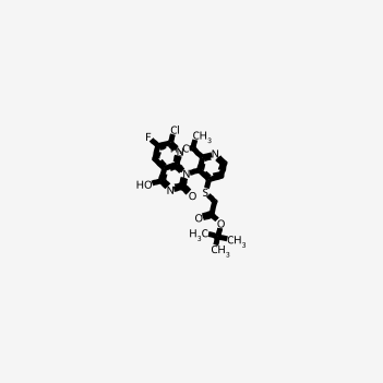 CC(C)c1nccc(SCC(=O)OC(C)(C)C)c1-n1c(=O)nc(O)c2cc(F)c(Cl)nc21